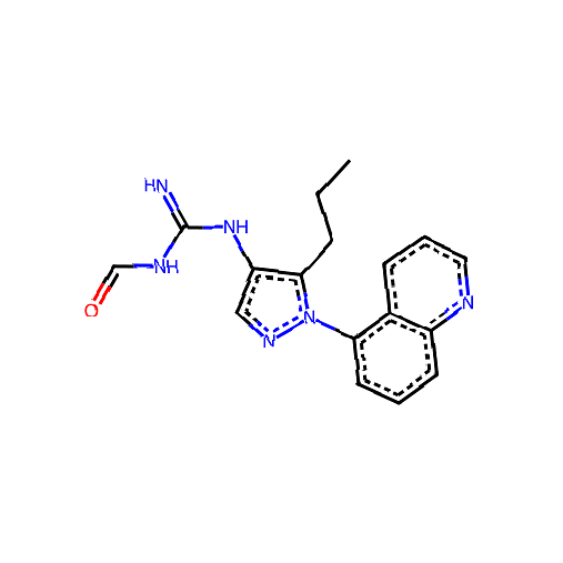 CCCc1c(NC(=N)NC=O)cnn1-c1cccc2ncccc12